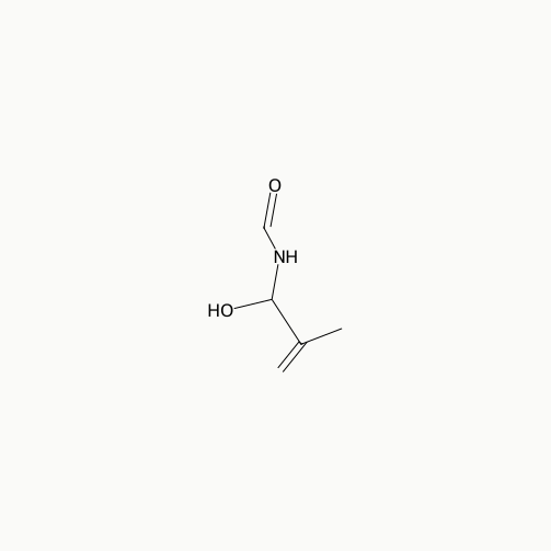 C=C(C)C(O)NC=O